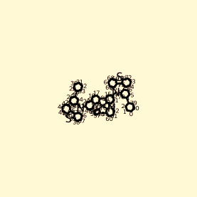 c1ccc(-c2cccc(N(c3ccc4c(c3)-c3ccc5cc(N(c6cccc(-c7ccccc7)c6)c6cccc7sc8ccccc8c67)ccc5c3C43c4ccccc4-c4cccnc43)c3cccc4sc5ccccc5c34)c2)cc1